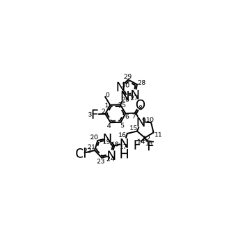 Cc1c(F)ccc(C(=O)N2CCC(F)(F)C2CNc2ncc(Cl)cn2)c1-n1nccn1